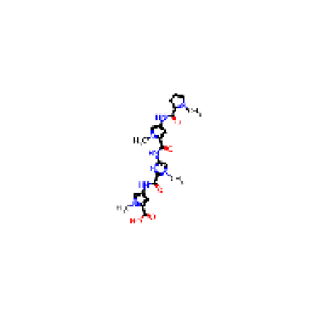 CN1C=CCC1C(=O)Nc1cc(C(=O)Nc2cn(C)c(C(=O)Nc3cc(C(=O)O)n(C)c3)n2)n(C)c1